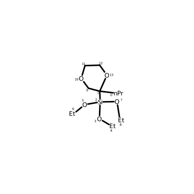 CCCC1([Si](OCC)(OCC)OCC)COCCO1